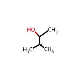 C[C](C)C(C)O